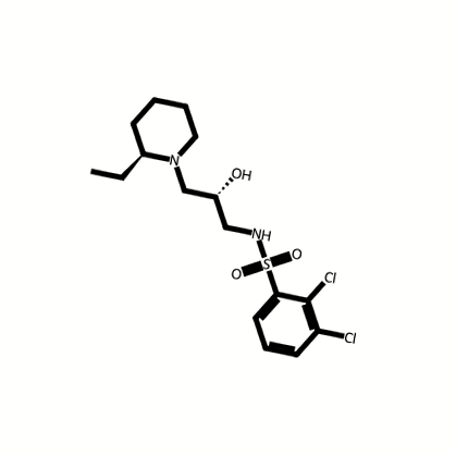 CC[C@H]1CCCCN1C[C@H](O)CNS(=O)(=O)c1cccc(Cl)c1Cl